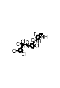 O=C(Nc1cc(F)c2cc[nH]c2c1)c1cc(NC(=O)C2C(c3cc(Cl)cc(Cl)c3)C2(Cl)Cl)ccc1Cl